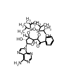 CC(C)[Si]1(C(C)C)OC(C(=O)c2ccccc2)[C@H]2O[C@@H](n3cnc4c(N)ncnc43)[C@H](O)[C@@H]2O[Si](C(C)C)(C(C)C)O1